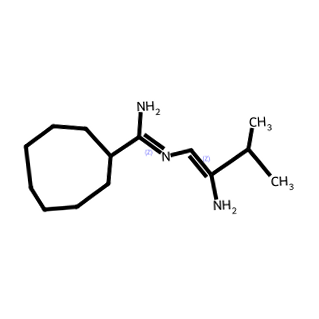 CC(C)/C(N)=C/N=C(\N)C1CCCCCCC1